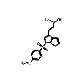 COc1ccc(S(=O)(=O)n2cc(CCN(C)C)c3ccsc32)cc1